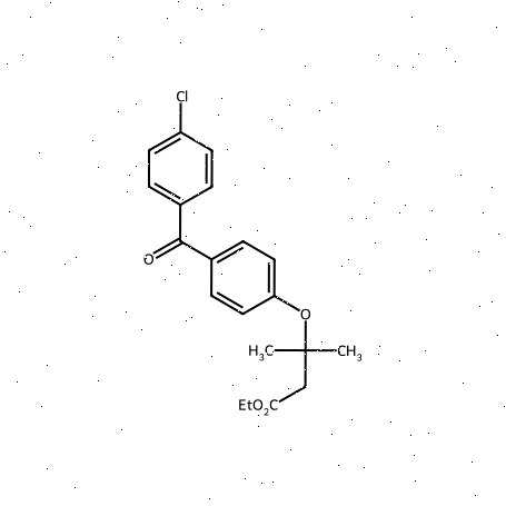 CCOC(=O)CC(C)(C)Oc1ccc(C(=O)c2ccc(Cl)cc2)cc1